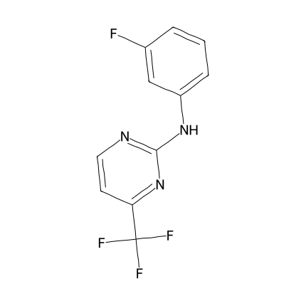 Fc1cccc(Nc2nccc(C(F)(F)F)n2)c1